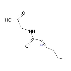 CCC/C=C/C(=O)NCC(=O)O